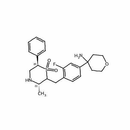 C[C@@H]1NC[C@@H](c2ccccc2)S(=O)(=O)C1Cc1ccc(C2(N)CCOCC2)cc1F